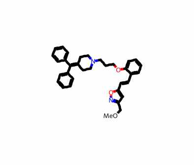 COCc1cc(/C=C/c2ccccc2OCCCN2CCC(=C(c3ccccc3)c3ccccc3)CC2)on1